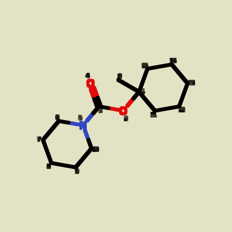 CC1(OC(=O)N2CCCCC2)CCCCC1